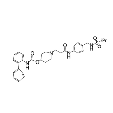 CC(C)S(=O)(=O)NCc1ccc(NC(=O)CCN2CCC(OC(=O)Nc3ccccc3-c3ccccc3)CC2)cc1